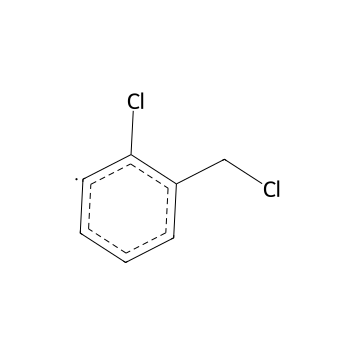 ClCc1ccc[c]c1Cl